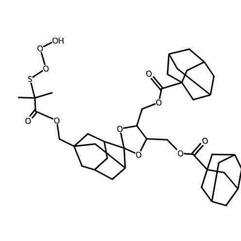 CC(C)(SOOO)C(=O)OCC12CC3CC(C1)C1(OC(COC(=O)C45CC6CC(CC(C6)C4)C5)C(COC(=O)C45CC6CC(CC(C6)C4)C5)O1)C(C3)C2